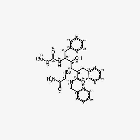 CC[C@H](C)[C@@H](C(N)=O)N(Cc1ccccn1)C(=O)C(Cc1ccccc1)CC(O)C(Cc1ccccc1)NC(=O)OC(C)(C)C